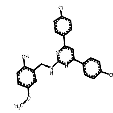 COc1ccc(O)c(CNc2nc(-c3ccc(Cl)cc3)cc(-c3ccc(Cl)cc3)n2)c1